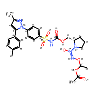 Cc1ccc(-c2cc(C(F)(F)F)nn2-c2ccc(S(=O)(=O)NC(=O)OC[C@@H]3CCCN3/[N+]([O-])=N\OC(C)OC(=O)C(C)C)cc2)cc1